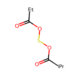 CCC(=O)OSOC(=O)C(C)C